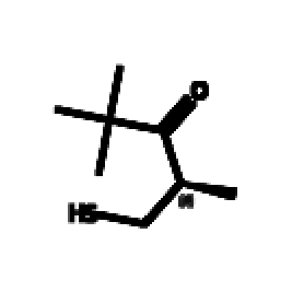 C[C@@H](CS)C(=O)C(C)(C)C